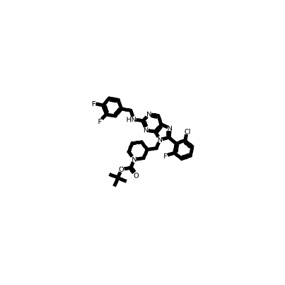 CC(C)(C)OC(=O)N1CCCC(Cn2c(-c3c(F)cccc3Cl)nc3cnc(NCc4ccc(F)c(F)c4)nc32)C1